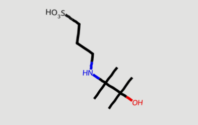 CC(C)(O)C(C)(C)NCCCS(=O)(=O)O